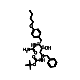 BC(=O)N[C@H](Cc1ccc(OCCCC)cc1)[C@H](O)CN(Cc1ccccc1)NC(=O)OC(C)(C)C